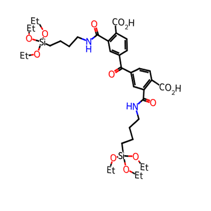 CCO[Si](CCCCNC(=O)c1cc(C(=O)c2ccc(C(=O)O)c(C(=O)NCCCC[Si](OCC)(OCC)OCC)c2)ccc1C(=O)O)(OCC)OCC